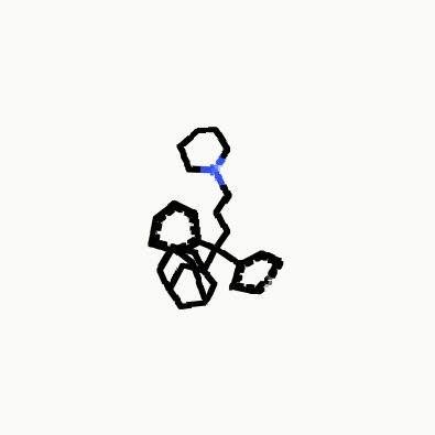 c1ccc(C(CCCN2CCCCC2)(c2ccccc2)C23CC4CC(CC(C4)C2)C3)cc1